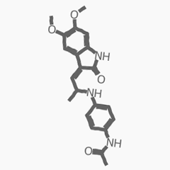 COc1cc2c(cc1OC)C(=CC(C)Nc1ccc(NC(C)=O)cc1)C(=O)N2